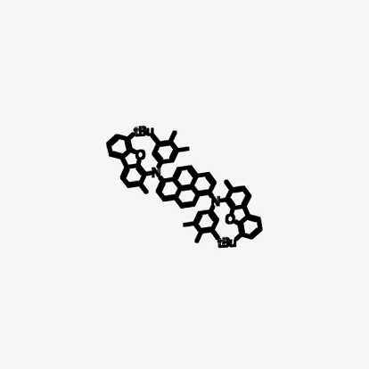 Cc1cc(N(c2ccc3ccc4c(N(c5cc(C)c(C)c(C)c5)c5c(C)ccc6c5oc5c(C(C)(C)C)cccc56)ccc5ccc2c3c54)c2c(C)ccc3c2oc2c(C(C)(C)C)cccc23)cc(C)c1C